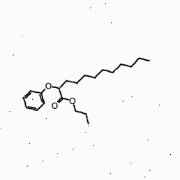 CCCCCCCCCCC(Oc1ccccc1)C(=O)OCCC